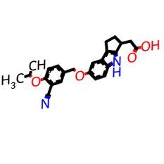 CC(C)Oc1ccc(COc2ccc3[nH]c4c(c3c2)CCC4CC(=O)O)cc1C#N